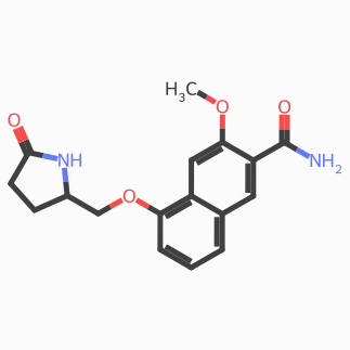 COc1cc2c(OCC3CCC(=O)N3)cccc2cc1C(N)=O